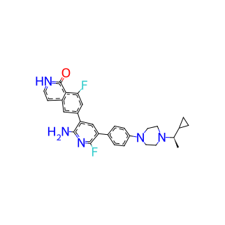 C[C@H](C1CC1)N1CCN(c2ccc(-c3cc(-c4cc(F)c5c(=O)[nH]ccc5c4)c(N)nc3F)cc2)CC1